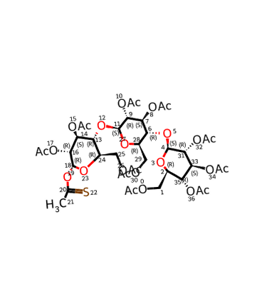 CC(=O)OC[C@H]1O[C@@H](O[C@H]2[C@H](OC(C)=O)[C@@H](OC(C)=O)[C@H](O[C@H]3[C@H](OC(C)=O)[C@@H](OC(C)=O)[C@@H](OC(C)=S)O[C@@H]3COC(C)=O)O[C@@H]2COC(C)=O)[C@H](OC(C)=O)[C@@H](OC(C)=O)[C@@H]1OC(C)=O